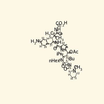 CCCCCCN(C(=O)[C@@H](NC(=O)[C@H]1CCCCN1C)[C@@H](C)CC)[C@H](C[C@@H](OC(C)=O)c1nc(C(=O)N[C@@H](Cc2ccc(N)cc2)CC(C)(C)C(=O)NCC(=O)O)cs1)C(C)C